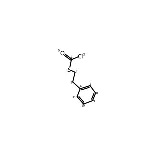 O=C(Cl)SCCc1ccccc1